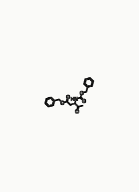 CC(=O)[C@@H](CC(=O)OCc1ccccc1)NC(=O)OCc1ccccc1